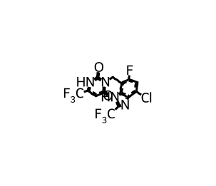 O=c1cc(C(F)(F)F)[nH]c(=O)n1Cc1c(F)cc(Cl)c2nc(C(F)(F)F)[nH]c12